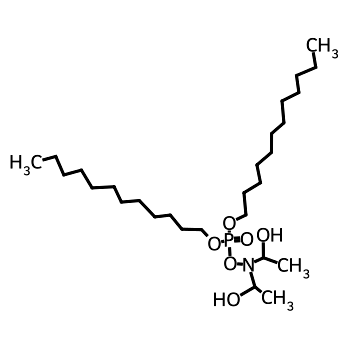 CCCCCCCCCCCCOP(=O)(OCCCCCCCCCCCC)ON(C(C)O)C(C)O